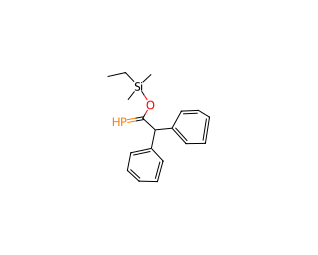 CC[Si](C)(C)OC(=P)C(c1ccccc1)c1ccccc1